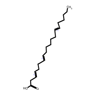 CCCCC/C=C/CCCCC/C=C/CC/C=C/CC(=O)O